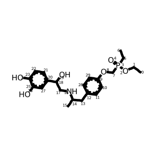 CCOP(=O)(CC)COc1ccc(CC(C)NCC(O)c2ccc(O)c(O)c2)cc1